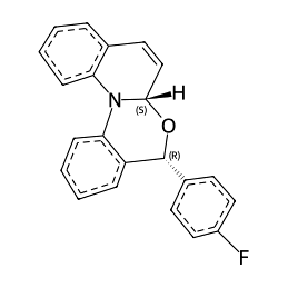 Fc1ccc([C@H]2O[C@H]3C=Cc4ccccc4N3c3ccccc32)cc1